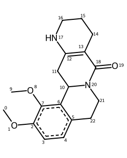 COc1ccc2c(c1OC)C1CC3=C(CCCN3)C(=O)N1CC2